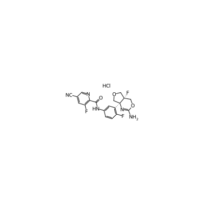 Cl.N#Cc1cnc(C(=O)Nc2ccc(F)c([C@]34COC[C@@]3(F)COC(N)=N4)c2)c(F)c1